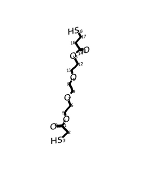 O=C(CS)OCCOCCOCCOC(=O)CCS